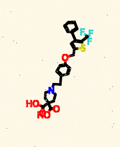 O=C(O)C1(C(=O)O)CCN(CCc2ccc(OCc3cc(-c4ccccc4)c(C(F)(F)F)s3)cc2)CC1